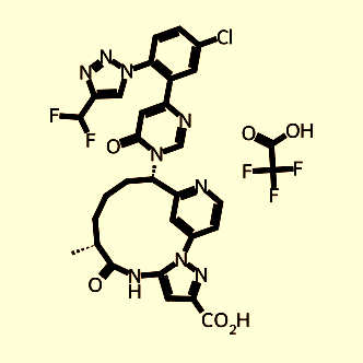 C[C@@H]1CCC[C@H](n2cnc(-c3cc(Cl)ccc3-n3cc(C(F)F)nn3)cc2=O)c2cc(ccn2)-n2nc(C(=O)O)cc2NC1=O.O=C(O)C(F)(F)F